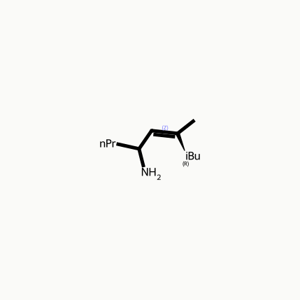 CCCC(N)/C=C(/C)[C@H](C)CC